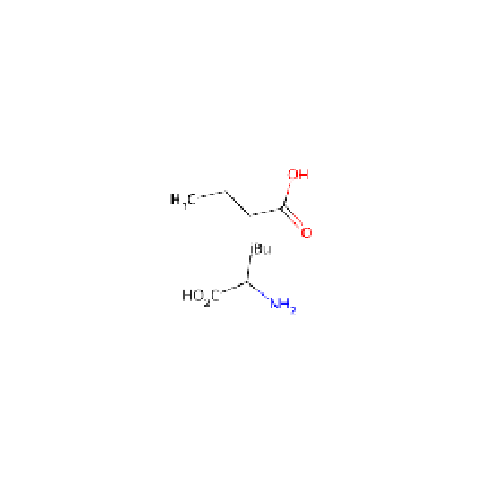 CCC(C)C(N)C(=O)O.CCCC(=O)O